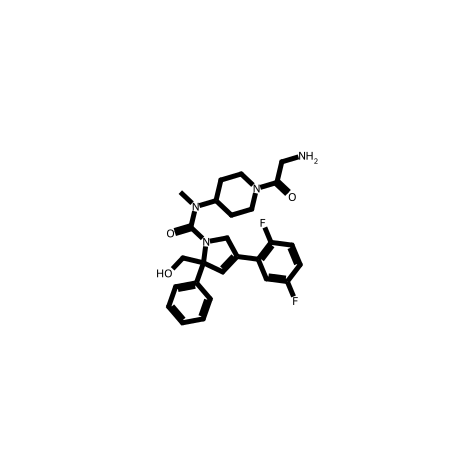 CN(C(=O)N1CC(c2cc(F)ccc2F)=CC1(CO)c1ccccc1)C1CCN(C(=O)CN)CC1